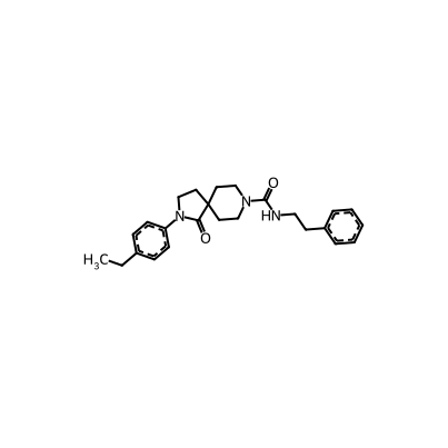 CCc1ccc(N2CCC3(CCN(C(=O)NCCc4ccccc4)CC3)C2=O)cc1